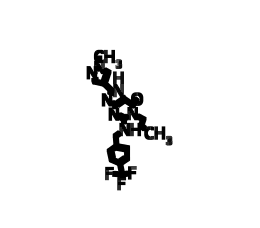 CCCn1c(NCc2ccc(C(F)(F)F)cc2)nc2nc(-c3cnn(C)c3)[nH]c2c1=O